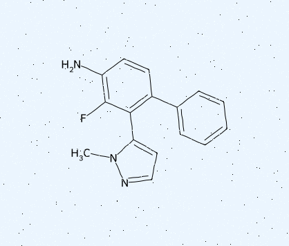 Cn1nccc1-c1c(-c2ccccc2)ccc(N)c1F